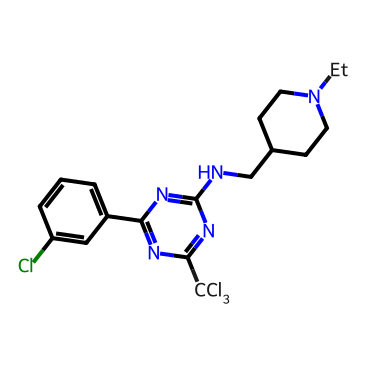 CCN1CCC(CNc2nc(-c3cccc(Cl)c3)nc(C(Cl)(Cl)Cl)n2)CC1